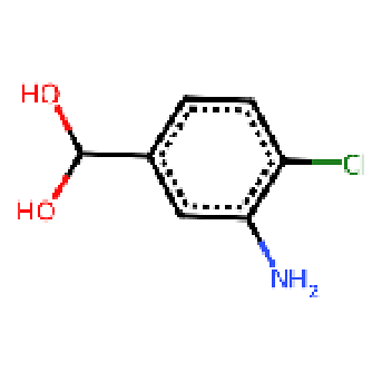 Nc1cc(C(O)O)ccc1Cl